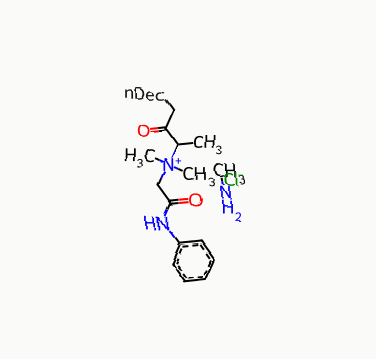 CCCCCCCCCCCC(=O)C(C)[N+](C)(C)CC(=O)Nc1ccccc1.CN.[Cl-]